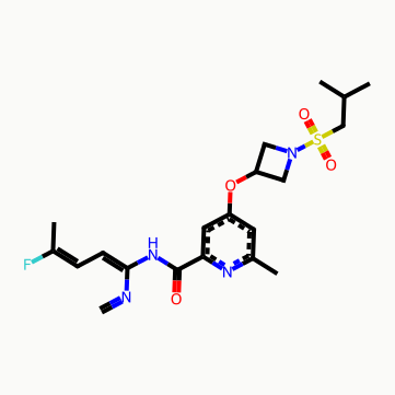 C=N/C(=C\C=C(/C)F)NC(=O)c1cc(OC2CN(S(=O)(=O)CC(C)C)C2)cc(C)n1